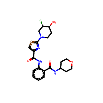 O=C(Nc1ccccc1C(=O)NC1CCOCC1)c1csc(N2CC[C@H](O)[C@H](F)C2)n1